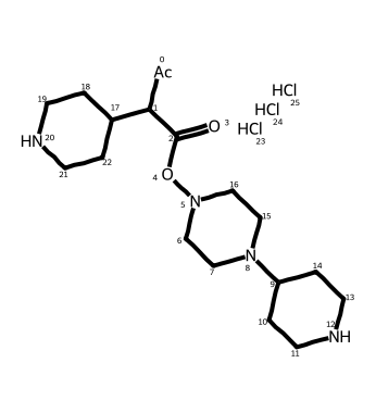 CC(=O)C(C(=O)ON1CCN(C2CCNCC2)CC1)C1CCNCC1.Cl.Cl.Cl